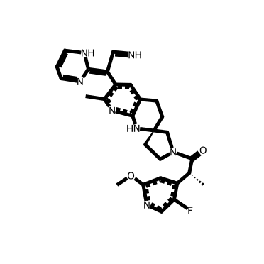 COc1cc([C@@H](C)C(=O)N2CC[C@@]3(CCc4cc(/C(C=N)=C5\N=CC=CN5)c(C)nc4N3)C2)c(F)cn1